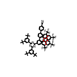 CC(C)(C)c1cc(-c2nc(-c3cc(C(C)(C)C)cc(C(C)(C)C)c3)nc(-c3ccc(-n4c5ccc(C(F)(F)F)cc5c5cc(C(F)(F)F)ccc54)c(-c4ccc(-c5ccc(C#N)cc5)cc4-n4c5ccc(C(F)(F)F)cc5c5cc(C(F)(F)F)ccc54)c3)n2)cc(C(C)(C)C)c1